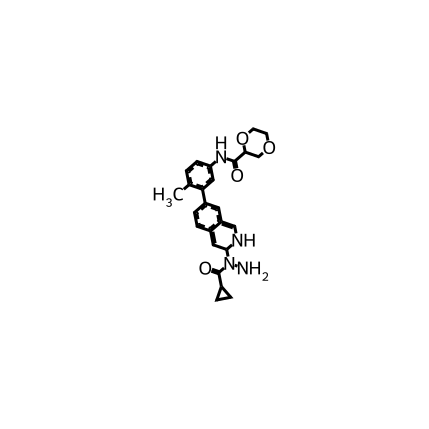 Cc1ccc(NC(=O)C2COCCO2)cc1-c1ccc2c(c1)=CNC(N(N)C(=O)C1CC1)C=2